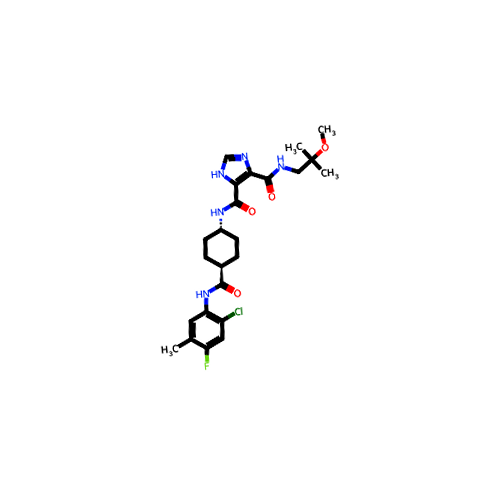 COC(C)(C)CNC(=O)c1nc[nH]c1C(=O)N[C@H]1CC[C@H](C(=O)Nc2cc(C)c(F)cc2Cl)CC1